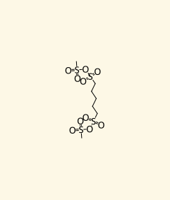 CS(=O)(=O)OS(=O)(=O)CCCCCS(=O)(=O)OS(C)(=O)=O